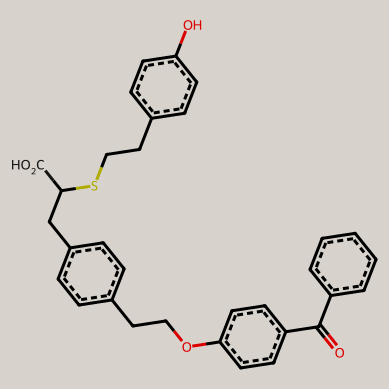 O=C(c1ccccc1)c1ccc(OCCc2ccc(CC(SCCc3ccc(O)cc3)C(=O)O)cc2)cc1